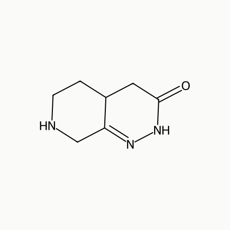 O=C1CC2CCNCC2=NN1